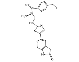 CCC[C@@H](c1ccc(CF)cc1)[C@H](N)CNc1ncc(-c2ccc3c(c2)CC(=O)N3)s1